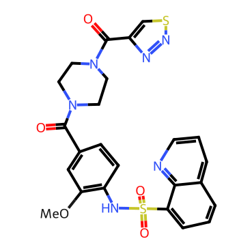 COc1cc(C(=O)N2CCN(C(=O)c3csnn3)CC2)ccc1NS(=O)(=O)c1cccc2cccnc12